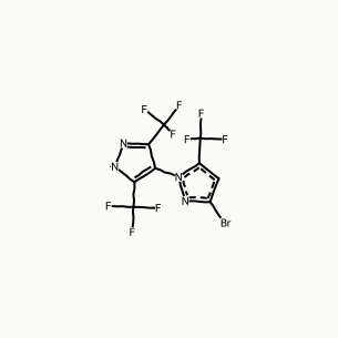 FC(F)(F)C1=N[N]C(C(F)(F)F)=C1n1nc(Br)cc1C(F)(F)F